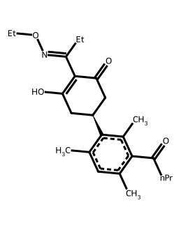 CCCC(=O)c1c(C)cc(C)c([C@@H]2CC(=O)C(/C(CC)=N/OCC)=C(O)C2)c1C